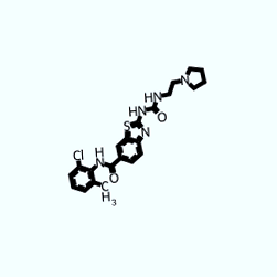 Cc1cccc(Cl)c1NC(=O)c1ccc2nc(NC(=O)NCCN3CCCC3)sc2c1